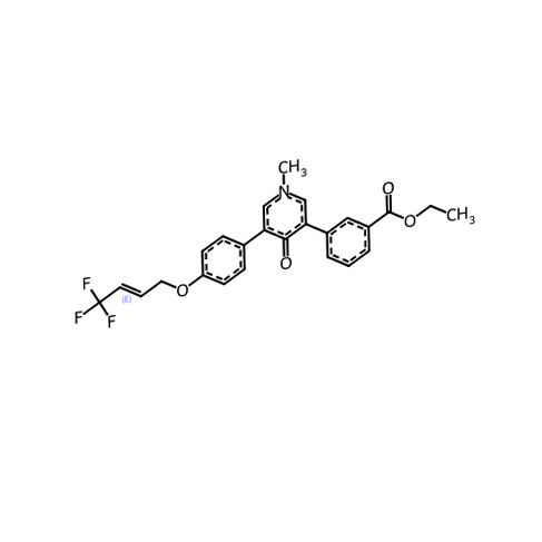 CCOC(=O)c1cccc(-c2cn(C)cc(-c3ccc(OC/C=C/C(F)(F)F)cc3)c2=O)c1